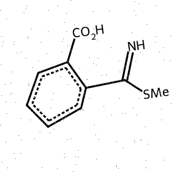 CSC(=N)c1ccccc1C(=O)O